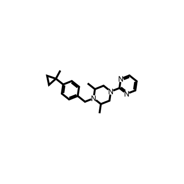 CC1CN(c2ncccn2)CC(C)N1Cc1ccc(C2(C)CC2)cc1